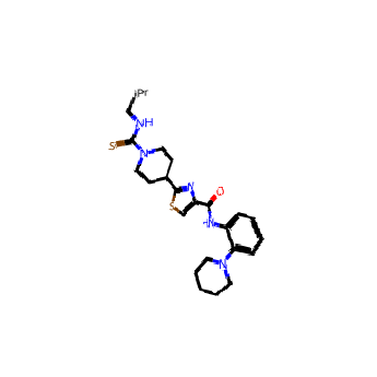 CC(C)CNC(=S)N1CCC(c2nc(C(=O)Nc3ccccc3N3CCCCC3)cs2)CC1